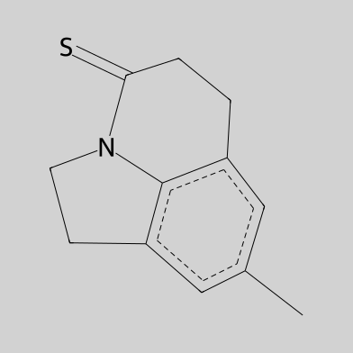 Cc1cc2c3c(c1)CCN3C(=S)CC2